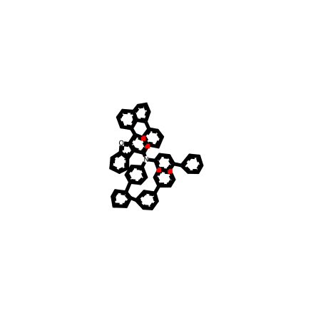 c1ccc(-c2ccc(N(c3ccc(-c4ccccc4-c4cccc(-c5ccccc5)c4)cc3)c3ccc(-c4cccc5cccc(-c6ccccc6)c45)c4oc5ccccc5c34)cc2)cc1